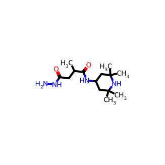 CC(CC(=O)NN)C(=O)NC1CC(C)(C)NC(C)(C)C1